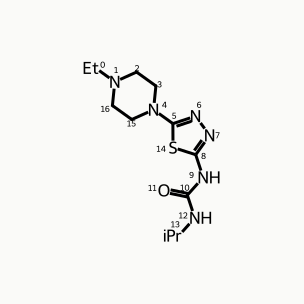 CCN1CCN(c2nnc(NC(=O)NC(C)C)s2)CC1